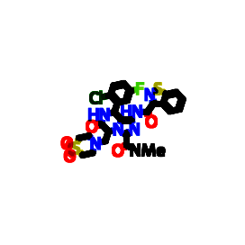 CNC(=O)c1nc(NC(=O)c2nsc3ccccc23)c2n1C(CN1CCS(=O)(=O)CC1)C(=O)NC2c1cc(F)ccc1Cl